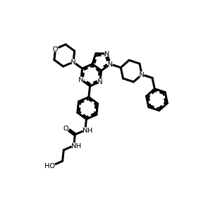 O=C(NCCO)Nc1ccc(-c2nc(N3CCOCC3)c3cnn(C4CCN(Cc5ccccc5)CC4)c3n2)cc1